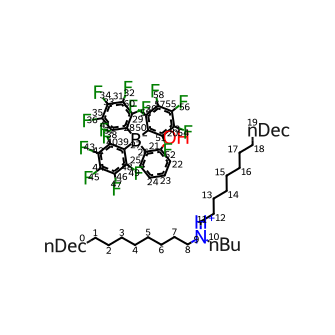 CCCCCCCCCCCCCCCCCC[NH+](CCCC)CCCCCCCCCCCCCCCCCC.Oc1ccccc1[B-](c1c(F)c(F)c(F)c(F)c1F)(c1c(F)c(F)c(F)c(F)c1F)c1c(F)c(F)c(F)c(F)c1F